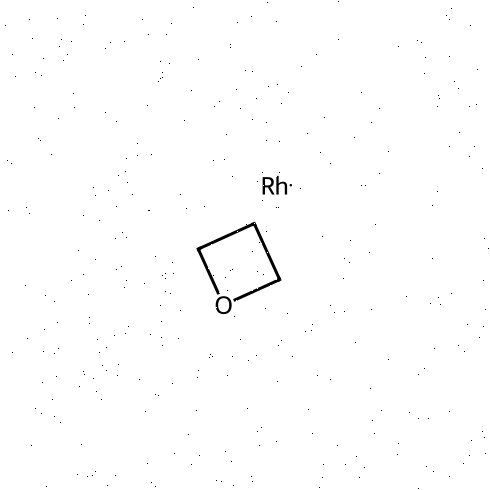 C1COC1.[Rh]